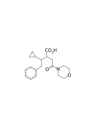 O=C(O)C(CC(=O)N1CCOCC1)C(Cc1ccccc1)C1CC1